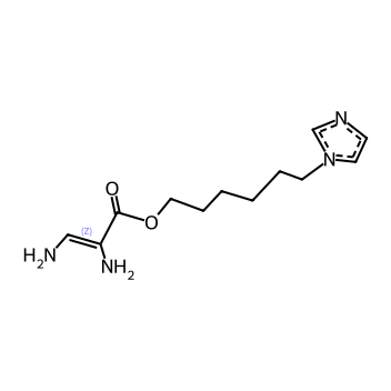 N/C=C(\N)C(=O)OCCCCCCn1ccnc1